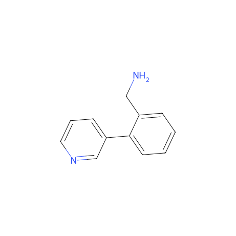 NCc1ccccc1-c1cccnc1